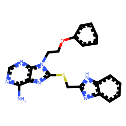 Nc1ncnc2c1nc(SCc1nc3ccccc3[nH]1)n2CCOc1ccccc1